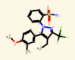 CCc1c(C(F)(F)F)nn(-c2ccccc2S(N)(=O)=O)c1-c1ccc(OC)c(C)c1